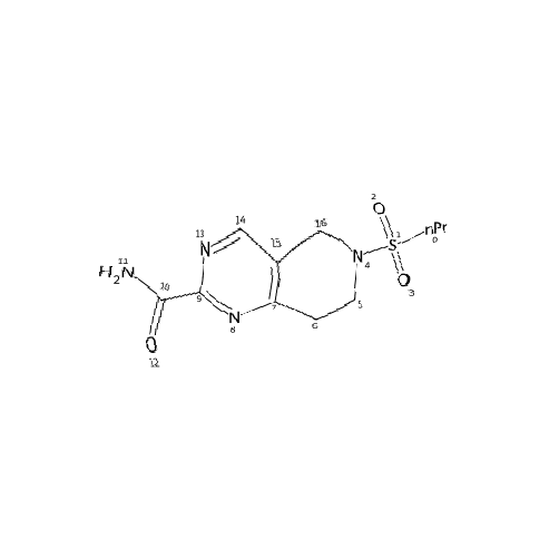 CCCS(=O)(=O)N1CCc2nc(C(N)=O)ncc2C1